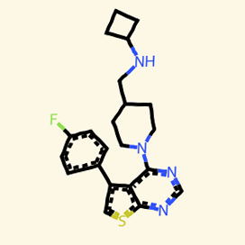 Fc1ccc(-c2csc3ncnc(N4CCC(CNC5CCC5)CC4)c23)cc1